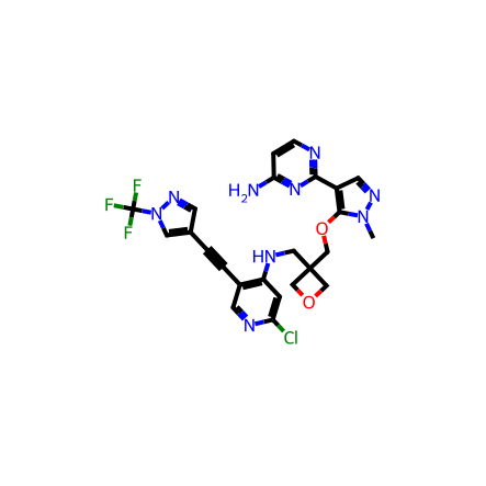 Cn1ncc(-c2nccc(N)n2)c1OCC1(CNc2cc(Cl)ncc2C#Cc2cnn(C(F)(F)F)c2)COC1